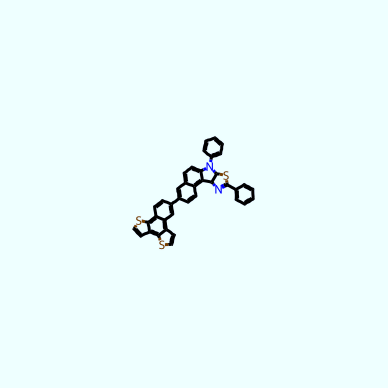 c1ccc(C2=NC3c4c(ccc5cc(-c6ccc7c(c6)c6ccsc6c6ccsc76)ccc45)N(c4ccccc4)C3S2)cc1